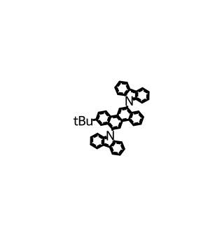 CC(C)(C)c1ccc2c(c1)c(-n1c3ccccc3c3ccccc31)cc1c3ccccc3c(-n3c4ccccc4c4ccccc43)cc21